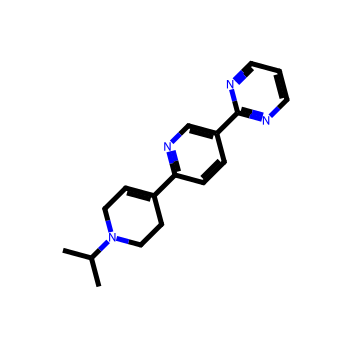 CC(C)N1CC=C(c2ccc(-c3ncccn3)cn2)CC1